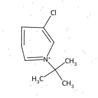 CC(C)(C)[n+]1cccc(Cl)c1